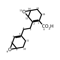 O=C(O)C1=C(CCC2=CC3OC3CC2)C2OC2CC1